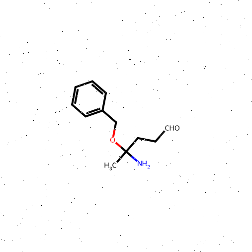 CC(N)(CCC=O)OCc1ccccc1